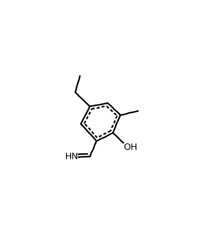 CCc1cc(C)c(O)c(C=N)c1